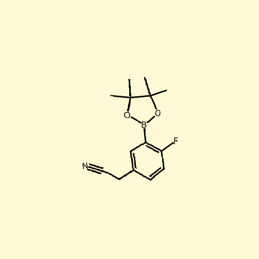 CC1(C)OB(c2cc(CC#N)ccc2F)OC1(C)C